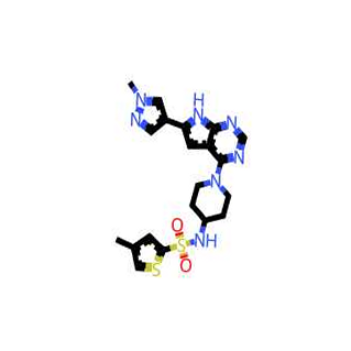 Cc1csc(S(=O)(=O)NC2CCN(c3ncnc4[nH]c(-c5cnn(C)c5)cc34)CC2)c1